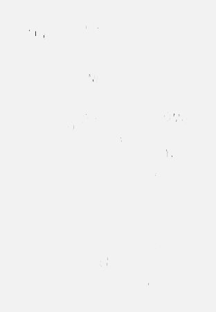 CO/N=C(\CCC(=O)NCC(C)O)c1ccc(Cl)c(Cl)c1